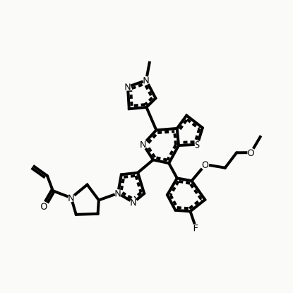 C=CC(=O)N1CCC(n2cc(-c3nc(-c4cnn(C)c4)c4ccsc4c3-c3ccc(F)cc3OCCOC)cn2)C1